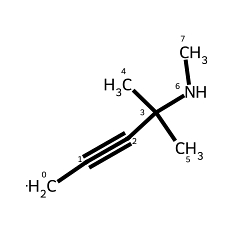 [CH2]C#CC(C)(C)NC